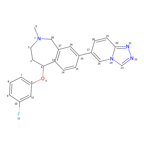 CN1CCC(Oc2cccc(F)c2)c2ccc(-c3ccc4nncn4c3)cc2C1